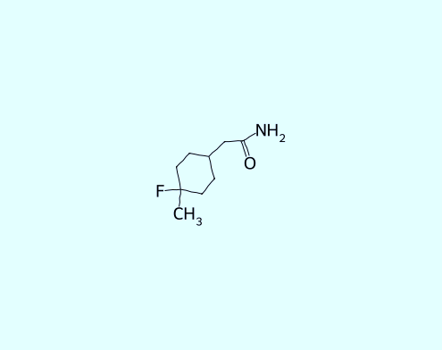 CC1(F)CCC(CC(N)=O)CC1